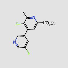 CCOC(=O)c1cc(-c2cncc(F)c2)c(F)c(C)n1